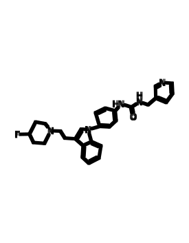 O=C(NCc1cccnc1)Nc1ccc(-n2cc(CCN3CCC(F)CC3)c3ccccc32)cc1